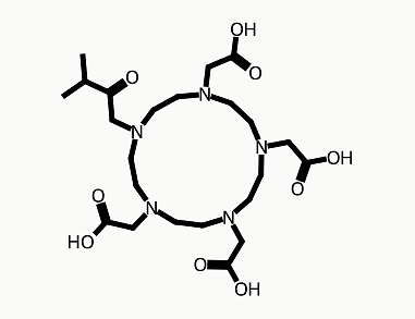 CC(C)C(=O)CN1CCN(CC(=O)O)CCN(CC(=O)O)CCN(CC(=O)O)CCN(CC(=O)O)CC1